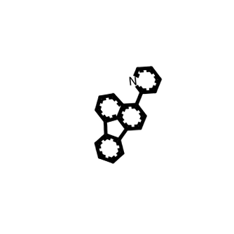 c1ccc(-c2ccc3c4c(cccc24)-c2ccccc2-3)nc1